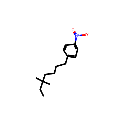 CCC(C)(C)CCCCc1ccc([N+](=O)[O-])cc1